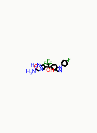 NC(=O)Cn1cc(C(O)(c2ccc3c(cnn3-c3ccc(F)cc3)c2)C(F)(F)F)cc1N